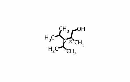 CC(C)N(C(C)C)[C@H](C)CO